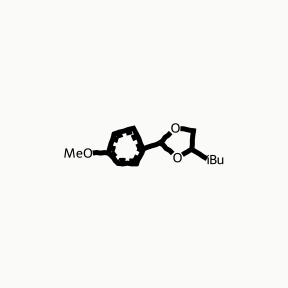 CCC(C)C1COC(c2ccc(OC)cc2)O1